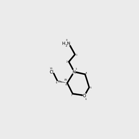 NCCN1CCOC[C@@H]1CCl